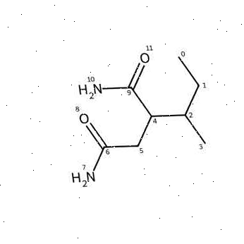 CCC(C)C(CC(N)=O)C(N)=O